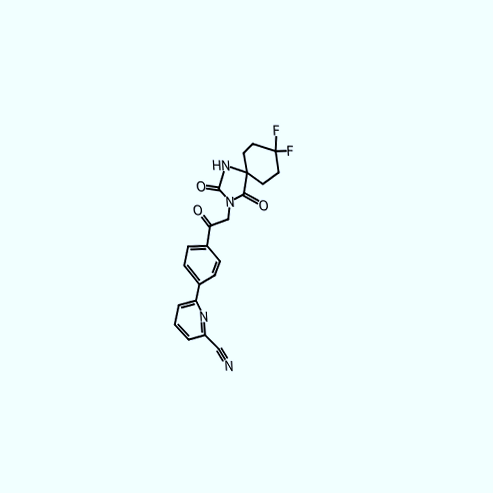 N#Cc1cccc(-c2ccc(C(=O)CN3C(=O)NC4(CCC(F)(F)CC4)C3=O)cc2)n1